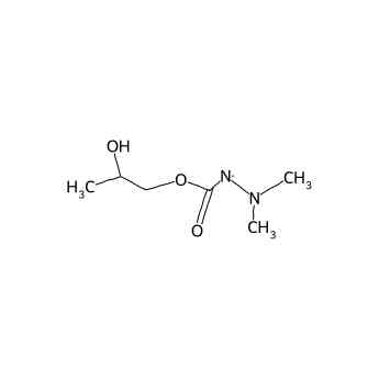 CC(O)COC(=O)[N]N(C)C